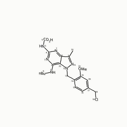 CCCCNc1nc(NC(=O)O)nc2c(C)nn(Cc3ccc(CCl)cc3OC)c12